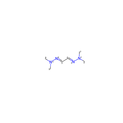 CN(C)N=CC=NN(C)C